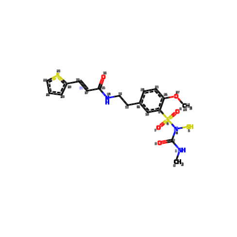 CNC(=O)N(S)S(=O)(=O)c1cc(CCNC(=O)/C=C/c2cccs2)ccc1OC